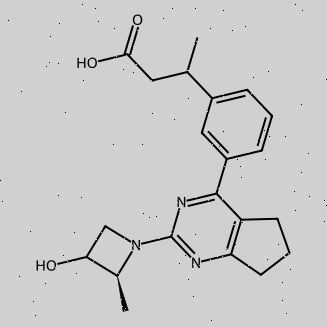 CC(CC(=O)O)c1cccc(-c2nc(N3CC(O)[C@@H]3C)nc3c2CCC3)c1